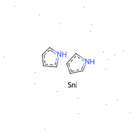 [Sn].c1cc[nH]c1.c1cc[nH]c1